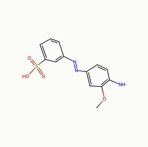 COc1cc(N=Nc2cccc(S(=O)(=O)O)c2)ccc1[NH]